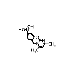 Cc1cc(C)n(Cc2ccc(B(O)O)cc2)c(=O)n1